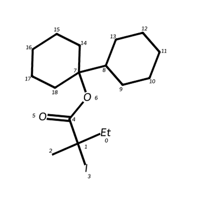 CCC(C)(I)C(=O)OC1(C2CCCCC2)CCCCC1